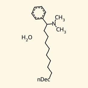 CCCCCCCCCCCCCCCCCCC(c1ccccc1)N(C)C.O